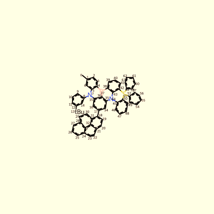 Cc1ccc2c(c1)N(c1cccc(C(C)(C)C)c1)c1cc(-c3ccc4ccc5cccc6ccc3c4c56)cc3c1B2c1cccc2c1N3c1ccccc1S2(c1ccccc1)c1ccccc1